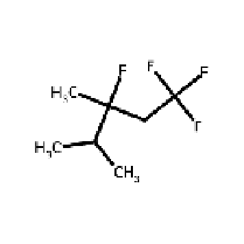 CC(C)C(C)(F)CC(F)(F)F